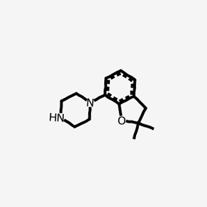 CC1(C)Cc2cccc(N3CCNCC3)c2O1